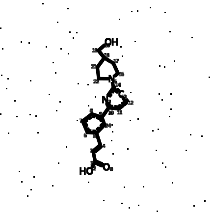 O=C(O)C=Cc1cccc(-c2cccc(N3CCC(CO)CC3)n2)c1